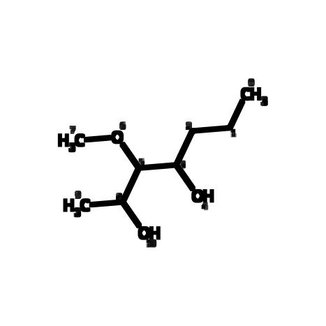 CCCC(O)C(OC)C(C)O